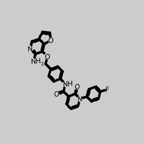 Nc1ncc2ccoc2c1OCc1ccc(NC(=O)c2cccn(-c3ccc(F)cc3)c2=O)cc1